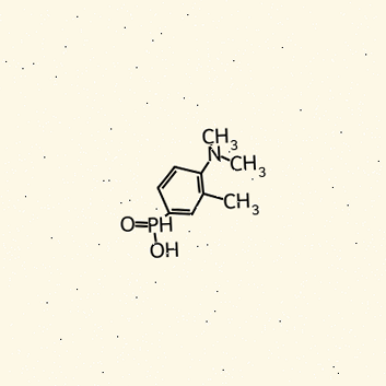 Cc1cc([PH](=O)O)ccc1N(C)C